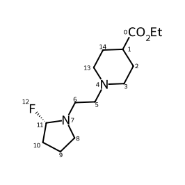 CCOC(=O)C1CCN(CCN2CCC[C@@H]2F)CC1